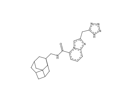 O=C(NCC12CC3CC4CC(C1)C4(C3)C2)c1cccc2nc(Cc3nnn[nH]3)cn12